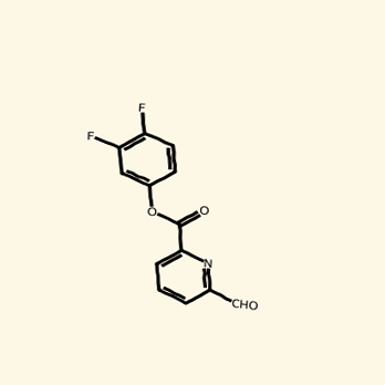 O=Cc1cccc(C(=O)Oc2ccc(F)c(F)c2)n1